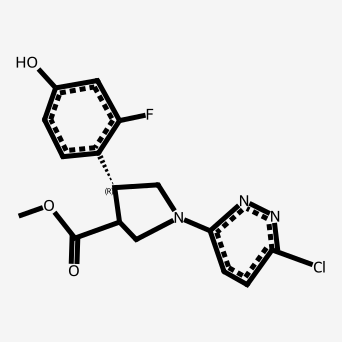 COC(=O)C1CN(c2ccc(Cl)nn2)C[C@H]1c1ccc(O)cc1F